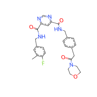 Cc1cc(CNC(=O)c2cc(C(=O)NCc3ccc(CC(=O)N4CCOCC4)cc3)ncn2)ccc1F